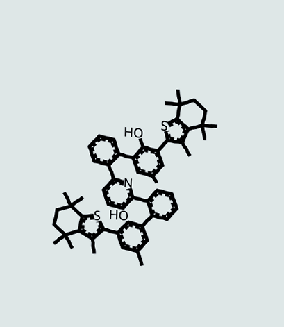 Cc1cc(-c2ccccc2-c2cccc(-c3ccccc3-c3cc(C)cc(-c4sc5c(c4C)C(C)(C)CCC5(C)C)c3O)n2)c(O)c(-c2sc3c(c2C)C(C)(C)CCC3(C)C)c1